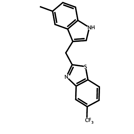 Cc1ccc2[nH]cc(Cc3nc4cc(C(F)(F)F)ccc4s3)c2c1